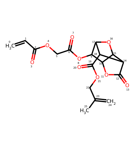 C=CC(=O)OCC(=O)OC1C2OC(=O)C3C2OC1C3C(=O)OCC(=C)C